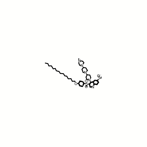 CCCCCCCCCCCCCCCCOc1ccc(S(=O)(=O)c2cnc3ccc([S+](C)[O-])cc3c2N2CCC(N3CCC(N4CCN(C)CC4)CC3)CC2)cc1